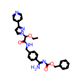 CCOC(C(=O)NCc1ccc(C(N)=NC(=O)OCc2ccccc2)cc1)n1ccc(-c2ccncc2)n1